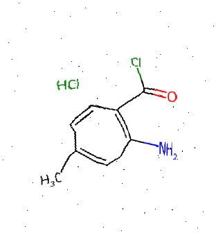 Cc1ccc(C(=O)Cl)c(N)c1.Cl